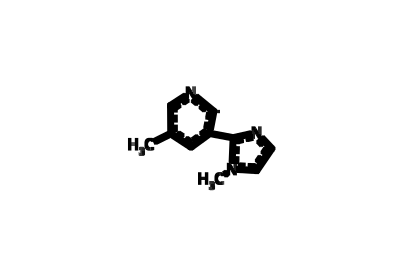 Cc1cn[c]c(-c2nccn2C)c1